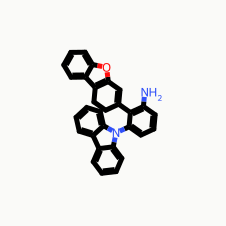 Nc1cccc(-n2c3ccccc3c3ccccc32)c1C1=Cc2oc3ccccc3c2CC1